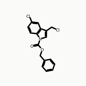 O=C(OCc1ccccc1)n1cc(CCl)c2cc(Cl)ccc21